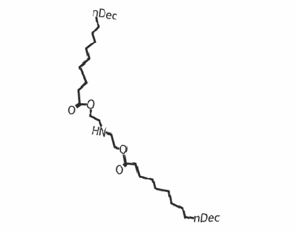 CCCCCCCCCCCCCCCCCCC(=O)OCCNCCOC(=O)CCCCCCCCCCCCCCCCCC